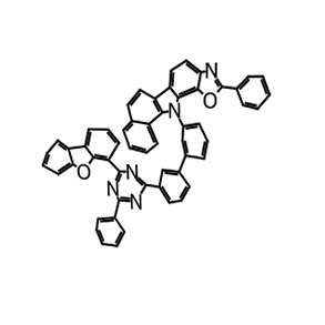 c1ccc(-c2nc(-c3cccc(-c4cccc(-n5c6c7ccccc7ccc6c6ccc7nc(-c8ccccc8)oc7c65)c4)c3)nc(-c3cccc4c3oc3ccccc34)n2)cc1